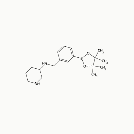 CC1(C)OB(c2cccc(CNC3CCCNC3)c2)OC1(C)C